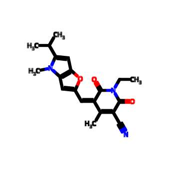 CCN1C(=O)C(C#N)=C(C)/C(=C/c2cc3c(cc(C(C)C)n3C)o2)C1=O